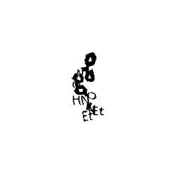 CCN(CC)CCNC(=O)c1ccc(OC2CCN(CC(c3ccccc3)c3ccccc3)CC2)cc1